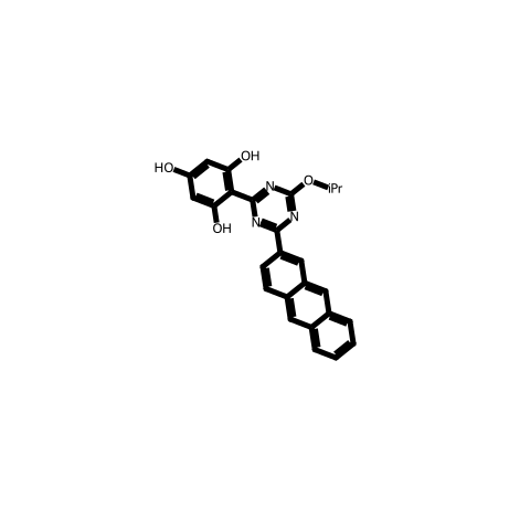 CC(C)Oc1nc(-c2ccc3cc4ccccc4cc3c2)nc(-c2c(O)cc(O)cc2O)n1